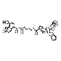 O=C(NCCCCNC[C@H](O)c1ccc(O)c2[nH]c(=O)ccc12)c1ccc(CNC2(C(=O)O[C@H]3CN4CCC3CC4)Cc3ccccc3C2)s1